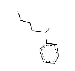 C[C](CCCC#N)c1ccccc1